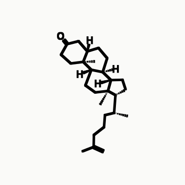 C=C(C)CCC[C@@H](C)[C@H]1CC[C@H]2[C@@H]3CC[C@H]4CC(=O)CC[C@]4(C)[C@H]3CC[C@]12C